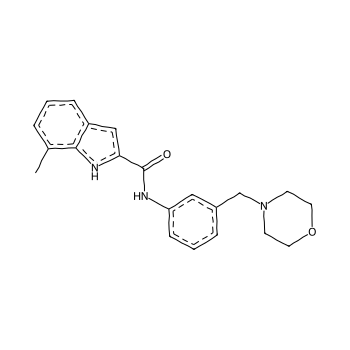 Cc1cccc2cc(C(=O)Nc3cccc(CN4CCOCC4)c3)[nH]c12